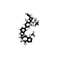 CN1C(=O)c2cccc(OC(F)F)c2C2C[C@H]1c1nc3ccc(-c4cnc([C@]5(N[S@@+]([O-])C(C)(C)C)C[C@@](C)(C#N)C5)c(F)c4)cc3n12